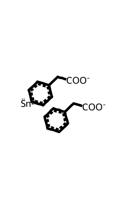 O=C([O-])Cc1ccccc1.O=C([O-])Cc1ccccc1.[Sn+2]